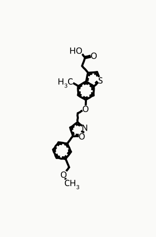 COCc1cccc(-c2cc(COc3cc(C)c4c(CC(=O)O)csc4c3)no2)c1